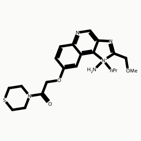 CCC[N+]1(N)C(COC)=Nc2cnc3ccc(OCC(=O)N4CCSCC4)cc3c21